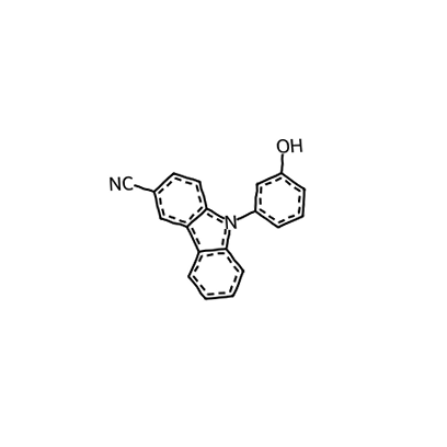 N#Cc1ccc2c(c1)c1ccccc1n2-c1cccc(O)c1